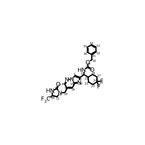 O=C(NC(c1cn2ncc(CN3C[C@@H](C(F)(F)F)NC3=O)cc2n1)C1CCC(F)(F)CC1)OCc1ccccc1